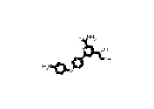 NC(=O)c1cc([C@H](O)CO)cc(-c2ccc(Oc3ccc(N)cc3)cc2)n1